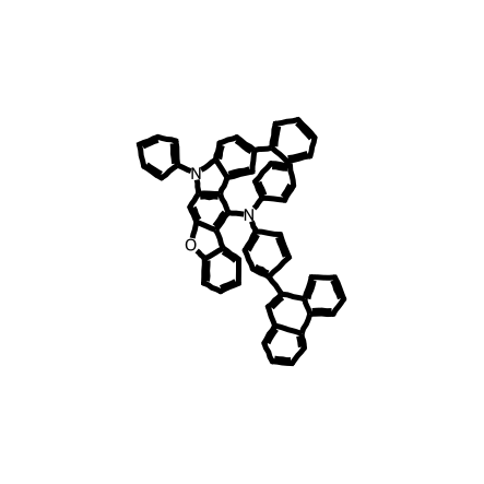 c1ccc(-c2ccc3c(c2)c2c(N(c4ccccc4)c4ccc(-c5cc6ccccc6c6ccccc56)cc4)c4c(cc2n3-c2ccccc2)oc2ccccc24)cc1